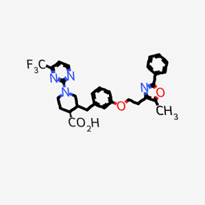 Cc1oc(-c2ccccc2)nc1CCOc1cccc(CC2CN(c3nccc(C(F)(F)F)n3)CC[C@@H]2C(=O)O)c1